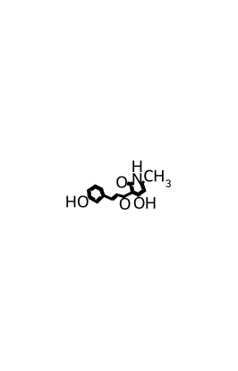 Cc1cc(O)c(C(=O)/C=C/c2cccc(O)c2)c(=O)[nH]1